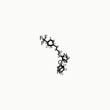 FC(F)(F)c1ccc(CCCSc2nsnc2OC2CN3CCC2CC3)cc1